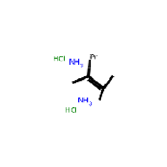 CC(C)=C(C)C(C)C.Cl.Cl.N.N